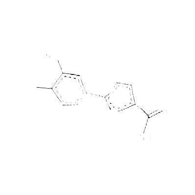 COc1cc(-c2ccc(C(N)=O)s2)ccc1O